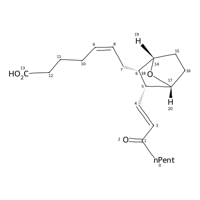 CCCCCC(=O)/C=C/[C@@H]1[C@H](C/C=C\CCCC(=O)O)[C@@H]2CC[C@H]1O2